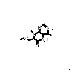 COCC1C(=O)Nc2c(C)ncnc2N1C